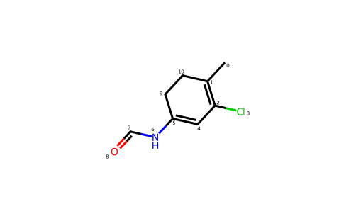 CC1=C(Cl)C=C(NC=O)CC1